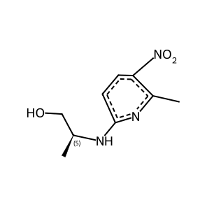 Cc1nc(N[C@@H](C)CO)ccc1[N+](=O)[O-]